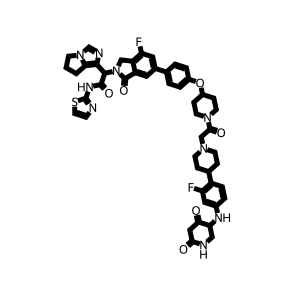 O=C1CC(=O)C(Nc2ccc(C3CCN(CC(=O)N4CCC(Oc5ccc(-c6cc(F)c7c(c6)C(=O)N(C(C(=O)Nc6nccs6)c6ncn8c6CCC8)C7)cc5)CC4)CC3)c(F)c2)CN1